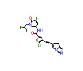 O=C(Nc1cc(F)c(=O)n(CC(F)F)c1)c1cc(C#Cc2ccc3cncn3c2)c(Cl)s1